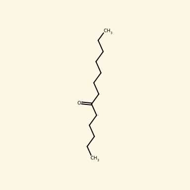 CCCC[CH]C(=O)CCCCCCC